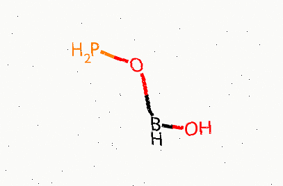 OBOP